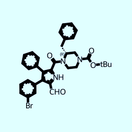 CC(C)(C)OC(=O)N1CCN(C(=O)c2[nH]c(C=O)c(-c3cccc(Br)c3)c2-c2ccccc2)[C@H](Cc2ccccc2)C1